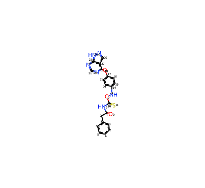 O=C(Cc1ccccc1)NC(=S)ONc1ccc(Oc2ncnc3[nH]ncc23)cc1